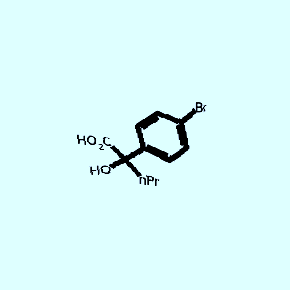 CCCC(O)(C(=O)O)c1ccc(Br)cc1